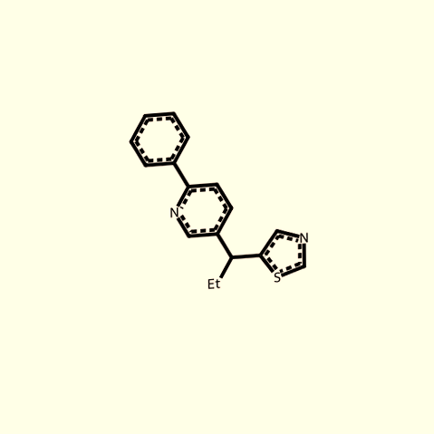 CCC(c1ccc(-c2ccccc2)nc1)c1cncs1